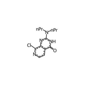 CCCN(CCC)c1nc2c(Cl)nccc2c(=O)[nH]1